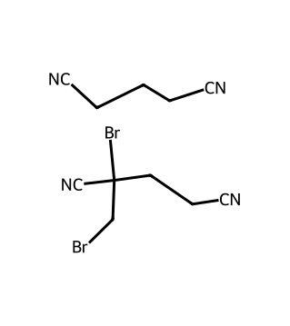 N#CCCC(Br)(C#N)CBr.N#CCCCC#N